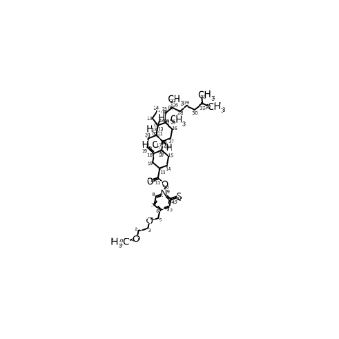 COCCOCc1ccn(OC(=O)C2CC[C@@]3(C)C(=CC[C@H]4[C@@H]5CC[C@H]([C@H](C)CCCC(C)C)[C@@]5(C)CC[C@@H]43)C2)c(=S)c1